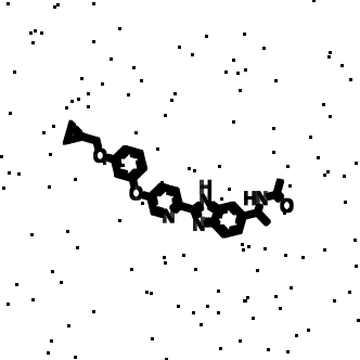 CC(=O)NC(C)c1ccc2nc(-c3ccc(Oc4cccc(OCC5CC5)c4)cn3)[nH]c2c1